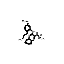 COc1ccc(CCCO)c(Nc2nc3ccccc3nc2NS(C)(=O)=O)c1